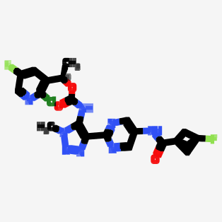 C[C@@H](OC(=O)Nc1c(-c2ncc(NC(=O)C34CC(F)(C3)C4)cn2)nnn1C)c1cc(F)cnc1Cl